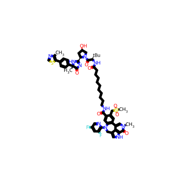 Cc1ncsc1-c1ccc([C@]2(C)NC([C@H]3C[C@@H](O)CN3C(=O)[C@@H](NC(=O)CCCCCCCCCCNC(=O)c3cc4c(cc3CS(C)(=O)=O)-c3cn(C)c(=O)c5[nH]cc(c35)CN4c3ncc(F)cc3F)C(C)(C)C)=NC2=O)cc1